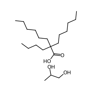 CC(O)CO.CCCCCCC(CCCC)(CCCCCC)C(=O)O